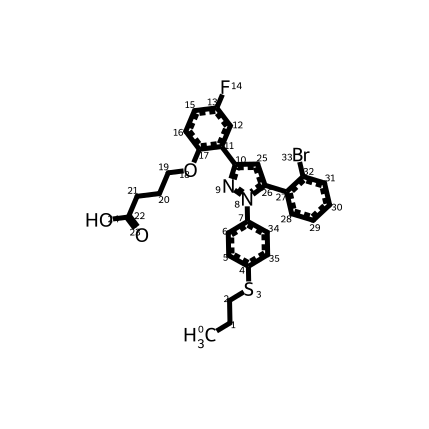 CCCSc1ccc(-n2nc(-c3cc(F)ccc3OCCCC(=O)O)cc2-c2ccccc2Br)cc1